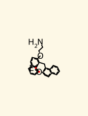 CCOc1ccc2ccccc2c1Cc1c(OCCN)ccc2ccccc12